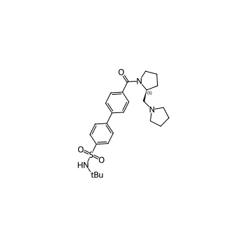 CC(C)(C)NS(=O)(=O)c1ccc(-c2ccc(C(=O)N3CCC[C@H]3CN3CCCC3)cc2)cc1